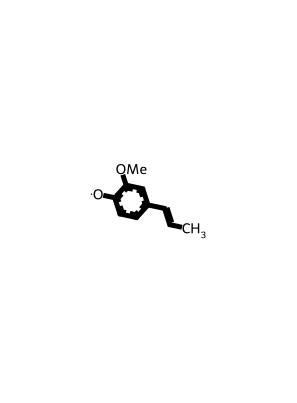 CC=Cc1ccc([O])c(OC)c1